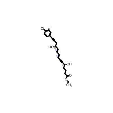 CCOC(=O)CCC[C@H](O)C#C/C=C/C=C/[C@H](O)CC#Cc1ccc(Cl)c(Cl)c1